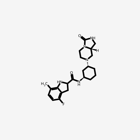 Cc1ccc(F)c2c1NC(C(=O)N[C@@H]1CCC[C@@H](N3CCN4C(=O)NC[C@@H]4C3)C1)C2